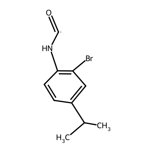 CC(C)c1ccc(N[C]=O)c(Br)c1